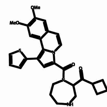 COc1cc2ccn3c(C(=O)N4CCCNCC4C(=O)C4CCC4)cc(-c4cccs4)c3c2cc1OC